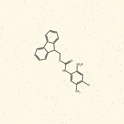 Cc1cc(NC(=O)OCC2c3ccccc3-c3ccccc32)c(S(=O)(=O)O)cc1Cl